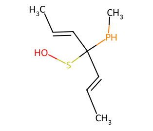 CC=CC(C=CC)(PC)SO